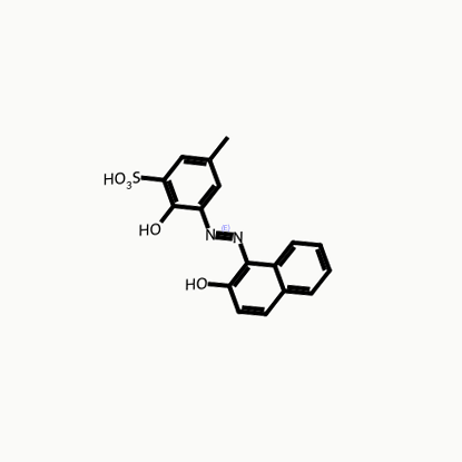 Cc1cc(/N=N/c2c(O)ccc3ccccc23)c(O)c(S(=O)(=O)O)c1